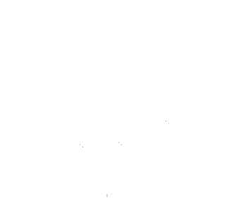 CC(C)CC1C(=O)NC(C2CCCC2)CN1C(=O)c1cc(-c2ccc(Cl)cc2)on1